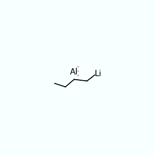 [Al].[Li][CH2]CCC